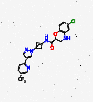 O=C(NC12CC(n3cc(-c4ccc(C(F)(F)F)cn4)cn3)(C1)C2)[C@@H]1CNc2cc(Cl)ccc2O1